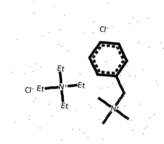 CC[N+](CC)(CC)CC.C[N+](C)(C)Cc1ccccc1.[Cl-].[Cl-]